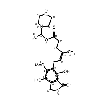 COc1c(C)c2c(c(O)c1CC=C(C)CCC(=O)OC(C)N1CCOCC1)C(=O)OC2